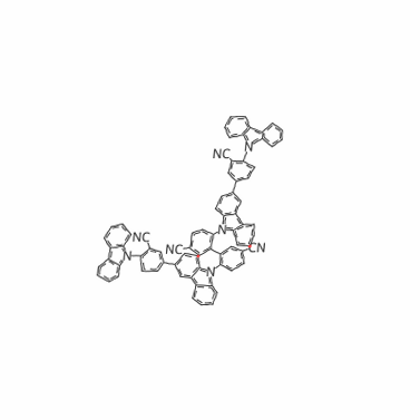 N#Cc1ccc(-n2c3ccccc3c3cc(-c4ccc(-n5c6ccccc6c6ccccc65)c(C#N)c4)ccc32)c(-c2cc(C#N)ccc2-n2c3ccccc3c3cc(-c4ccc(-n5c6ccccc6c6ccccc65)c(C#N)c4)ccc32)c1